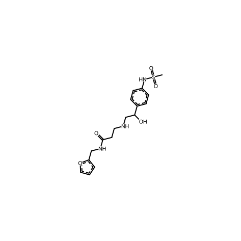 CS(=O)(=O)Nc1ccc(C(O)CNCCC(=O)NCc2ccco2)cc1